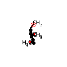 C=CC(=O)OCCCCc1ccc(-c2ccc3c(c2)C(CC)(CC)c2cc(-c4ccc5c(c4)C(CC)(CC)c4ccccc4-5)ccc2-3)cc1